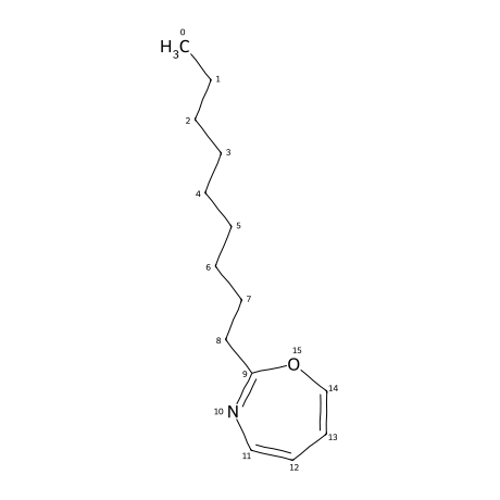 CCCCCCCCCC1=NC=CC=CO1